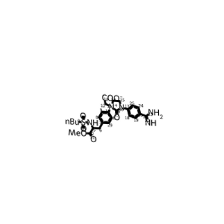 CCCCS(=O)(=O)NC(Cc1ccc([N+]2(CC(=O)[O-])CCN(c3ccc(C(=N)N)cc3)C2=O)cc1)C(=O)OC